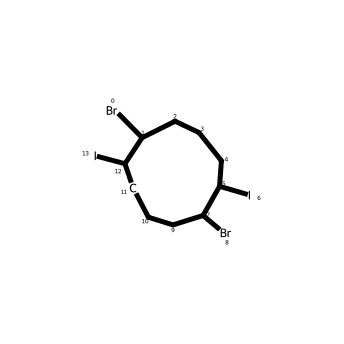 BrC1CCCC(I)C(Br)CCCC1I